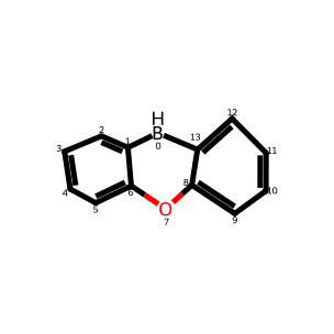 B1c2ccccc2Oc2ccccc21